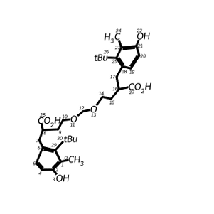 Cc1c(O)ccc(CC(CCOCOCCC(Cc2ccc(O)c(C)c2C(C)(C)C)C(=O)O)C(=O)O)c1C(C)(C)C